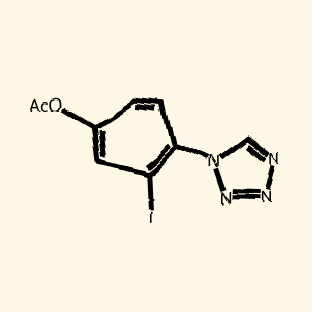 CC(=O)Oc1ccc(-n2cnnn2)c(I)c1